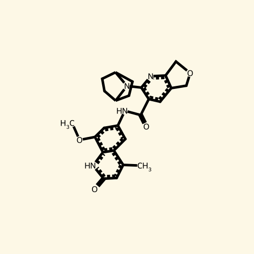 COc1cc(NC(=O)c2cc3c(nc2N2C4CCC2CC4)COC3)cc2c(C)cc(=O)[nH]c12